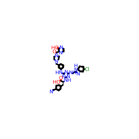 N#Cc1ccc(C[C@H](Nc2nc(NCc3nc4cc(Cl)ccc4[nH]3)nc(Nc3cccc(CN4CCN(C(=O)c5nccnc5O)CC4)c3)n2)C(=O)O)cc1